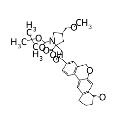 COC[C@@H]1CN(C(=O)OC(C)(C)C)C(CC(=O)c2ccc3c(c2)COc2cc4c(cc2-3)CCCC4=O)(C(=O)O)C1